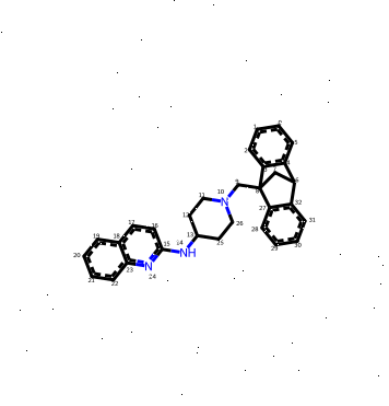 c1ccc2c(c1)C1CC2(CN2CCC(Nc3ccc4ccccc4n3)CC2)c2ccccc21